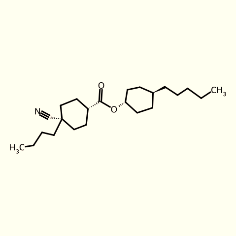 CCCCC[C@H]1CC[C@H](OC(=O)[C@H]2CC[C@](C#N)(CCCC)CC2)CC1